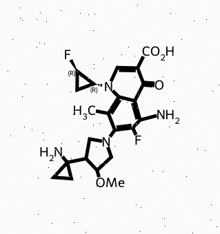 COC1CN(c2c(F)c(N)c3c(=O)c(C(=O)O)cn([C@@H]4C[C@H]4F)c3c2C)CC1C1(N)CC1